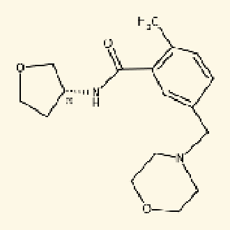 Cc1ccc(CN2CCOCC2)cc1C(=O)N[C@@H]1CCOC1